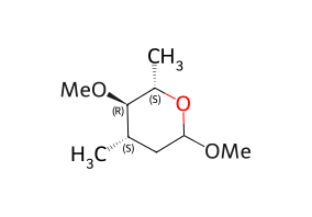 COC1C[C@H](C)[C@@H](OC)[C@H](C)O1